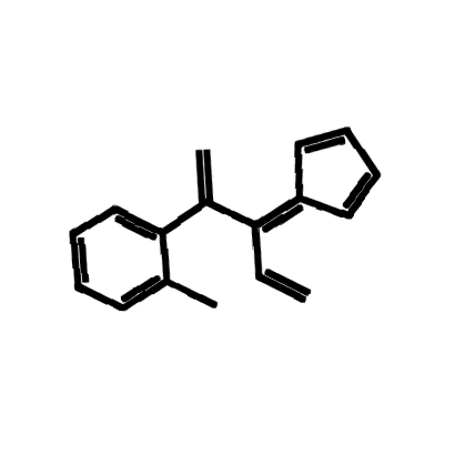 C=CC(C(=C)c1ccccc1C)=C1C=CC=C1